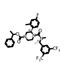 Cc1cc(F)ccc1[C@@H]1CN(C(=O)OC(C)c2ccccc2)CCN1C(=O)N(C)[C@@H](C)c1cc(C(F)(F)F)cc(C(F)(F)F)c1